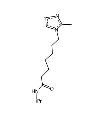 Cc1n[c]cn1CCCCCCC(=O)NC(C)C